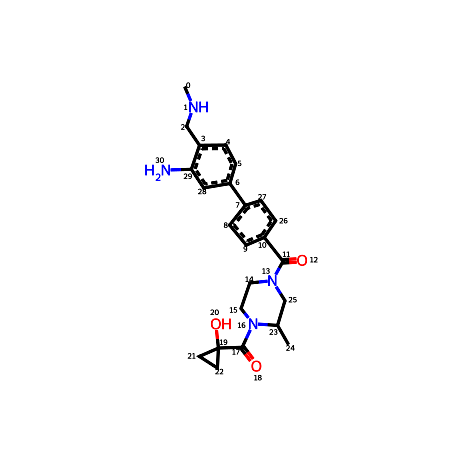 CNCc1ccc(-c2ccc(C(=O)N3CCN(C(=O)C4(O)CC4)C(C)C3)cc2)cc1N